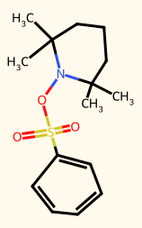 CC1(C)CCCC(C)(C)N1OS(=O)(=O)c1ccccc1